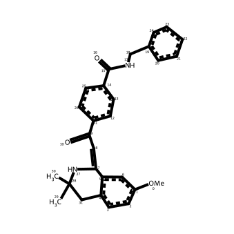 COc1ccc2c(c1)C(=CC(=O)c1ccc(C(=O)NCc3ccccc3)cc1)NC(C)(C)C2